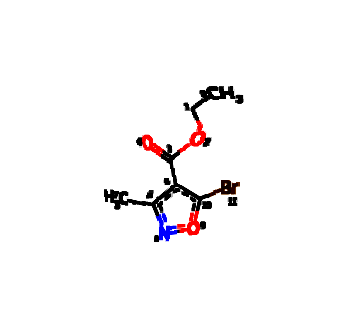 CCOC(=O)c1c(C)noc1Br